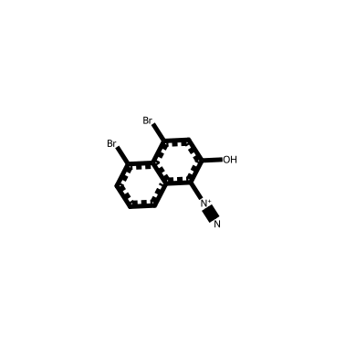 N#[N+]c1c(O)cc(Br)c2c(Br)cccc12